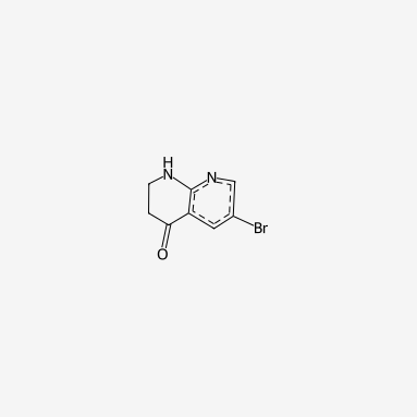 O=C1CCNc2ncc(Br)cc21